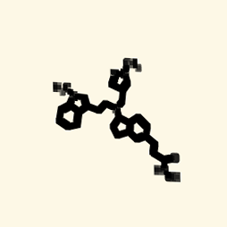 Cn1cc(CN(CCc2cn(C)c3ccccc23)C2CCc3cc(C=CC(=O)NO)ccc32)cn1